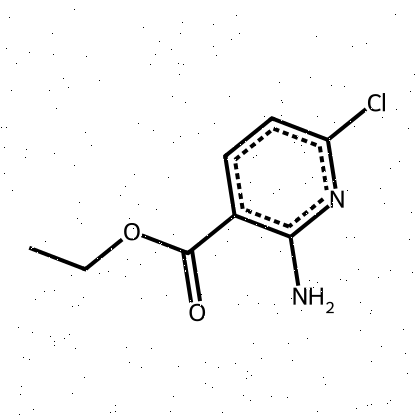 CCOC(=O)c1ccc(Cl)nc1N